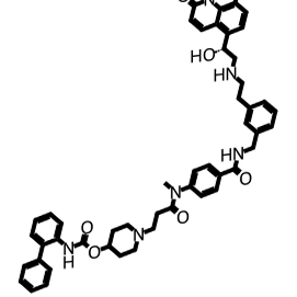 CN(C(=O)CCN1CCC(OC(=O)Nc2ccccc2-c2ccccc2)CC1)c1ccc(C(=O)NCc2cccc(CCNC[C@H](O)c3ccc(O)c4[nH]c(=O)ccc34)c2)cc1